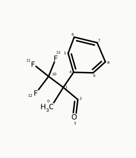 CC(C=O)(c1ccccc1)C(F)(F)F